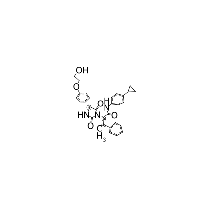 C[C@@H](c1ccccc1)[C@@H](C(=O)Nc1ccc(C2CC2)cc1)N1C(=O)N[C@H](c2ccc(OCCO)cc2)C1=O